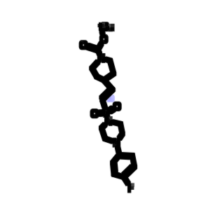 CC(C)(C)OC(=O)N1CCC(/C=C/S(=O)(=O)N2CCN(c3ccc(F)cc3)CC2)CC1